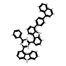 c1ccc(-c2nc(-c3cccc4oc5ccccc5c34)nc(-c3cccc4oc5c(-c6ccc(-c7cccc8ccccc78)cc6)cccc5c34)n2)cc1